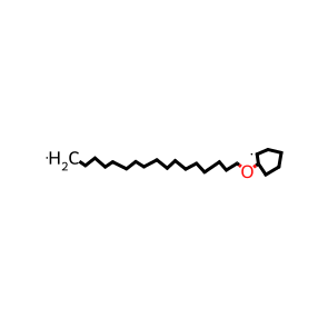 [CH2]CCCCCCCCCCCCCCCCOC1[CH]CCCC1